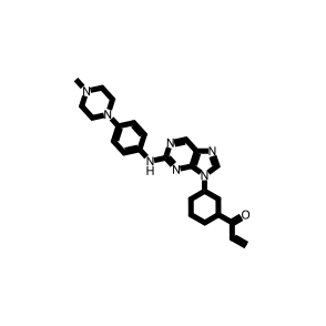 C=CC(=O)C1CCCC(n2cnc3cnc(Nc4ccc(N5CCN(C)CC5)cc4)nc32)C1